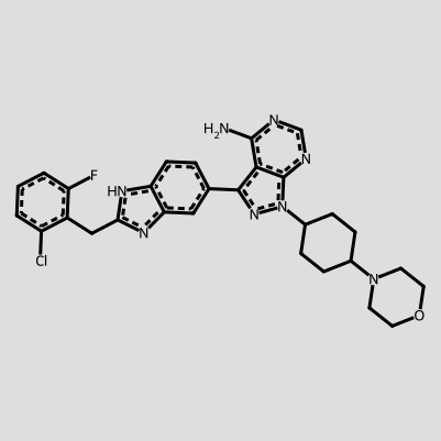 Nc1ncnc2c1c(-c1ccc3[nH]c(Cc4c(F)cccc4Cl)nc3c1)nn2C1CCC(N2CCOCC2)CC1